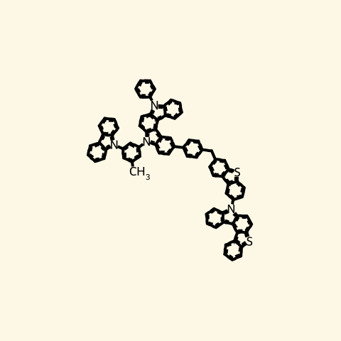 Cc1cc(-n2c3ccccc3c3ccccc32)cc(-n2c3ccc(-c4ccc(Cc5ccc6c(c5)sc5ccc(-n7c8ccccc8c8c9c(ccc87)sc7ccccc79)cc56)cc4)cc3c3c4c5ccccc5n(-c5ccccc5)c4ccc32)c1